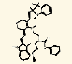 C#CCCCN(CCN(C)C1=C(/C=C/C2(C)N(C)c3ccccc3C2(C)C)CCC/C1=C\C=C1/C(C)c2ccccc2N1C)C(=O)Oc1ccccc1